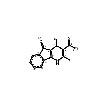 CCC(=S)C1=C(C)NC2=C(C(=O)c3ccccc32)C1C